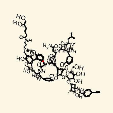 C#Cc1ccc(CNC23C[C@H](O[C@@H]4C(O)C(O)[C@@H](CO)O[C@H]4Oc4c5cc6cc4Oc4ccc(cc4Cl)[C@@H](O)[C@@H](NC(=O)[C@@H](CC(C)C)NC)C(=O)NC(CC(N)=O)C(=O)N[C@H]6C(=O)N[C@@H]4C(=O)N[C@H](C(=O)N[C@H](C(=O)O)c6cc(O)c(CNCCCNC(=O)CCC[C@H](O)CO)c(O)c6-c6cc4ccc6O)[C@H](O)c4ccc(c(Cl)c4)O5)C2[C@@H](C)[C@H]3O)cc1